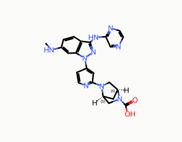 CNc1ccc2c(Nc3cnccn3)nn(-c3ccnc(N4C[C@@H]5C[C@H]4CN5C(=O)O)c3)c2c1